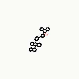 c1cc(-c2ccc3oc4c5ccccc5c5ccccc5c4c3c2)cc(-c2c3ccccc3c(-c3cccc4ccccc34)c3ccccc23)c1